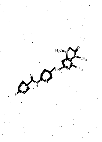 Cc1nc(NCc2ccc(NC(=O)c3ccc(F)cc3)nc2)cc2c1N(C)C(=O)CN2C